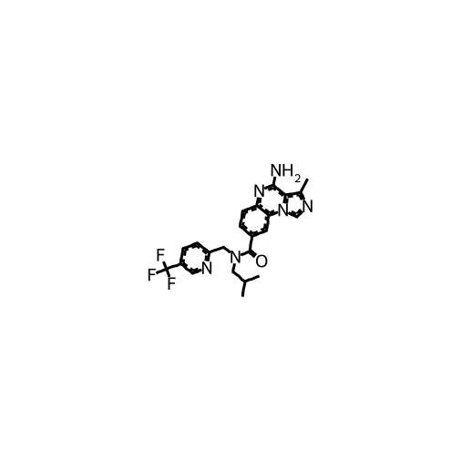 Cc1ncn2c1c(N)nc1ccc(C(=O)N(Cc3ccc(C(F)(F)F)cn3)CC(C)C)cc12